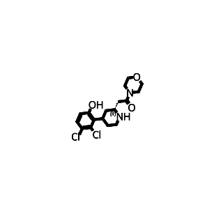 O=C(C[C@H]1CC(c2c(O)ccc(Cl)c2Cl)CCN1)N1CCOCC1